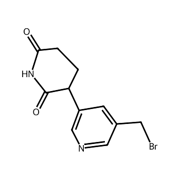 O=C1CCC(c2cncc(CBr)c2)C(=O)N1